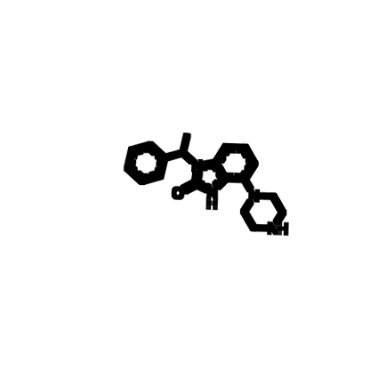 CC(c1ccccc1)n1c(=O)[nH]c2c(N3CCNCC3)cccc21